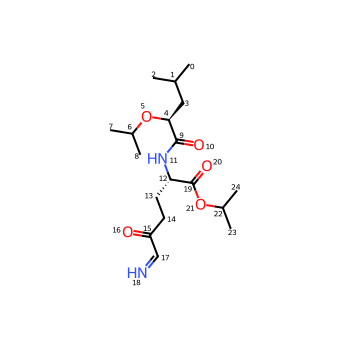 CC(C)C[C@H](OC(C)C)C(=O)N[C@@H](CCC(=O)C=N)C(=O)OC(C)C